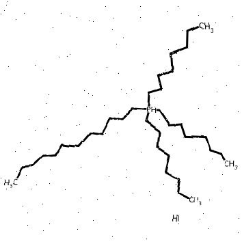 CCCCCCCCCCCC[PH](CCCCCCCC)(CCCCCCCC)CCCCCCCC.I